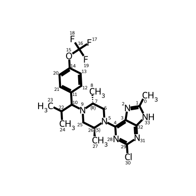 Cc1nc2c(N3C[C@@H](C)N(C(c4ccc(OC(F)(F)F)cc4)C(C)C)C[C@@H]3C)nc(Cl)nc2[nH]1